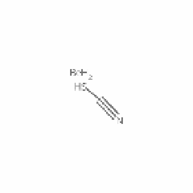 N#CS.[BeH2]